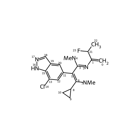 C=C(/N=C(NC)/C(=C(\NC)C1CC1)c1cc(Cl)c2[nH]ncc2c1)C(C)F